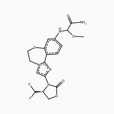 COC(Nc1ccc2c(c1)OCCn1cc(N3C(=O)OC[C@H]3C(F)F)nc1-2)C(N)=O